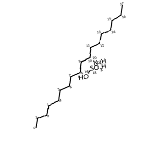 CCCCCCCCCCCCCCCCCC.O=S(=O)(O)O.[NaH]